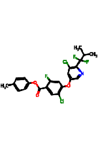 Cc1ccc(OC(=O)c2cc(Cl)c(Oc3cnc(C(F)(F)C(C)C)c(Cl)c3)cc2F)cc1